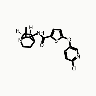 C[C@H]1[C@H](NC(=O)c2ccc(Oc3ccc(Cl)nc3)s2)C2CCN1CC2